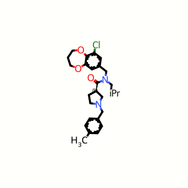 Cc1ccc(CN2CC[C@@H](C(=O)N(Cc3cc(Cl)c4c(c3)OCCCO4)CC(C)C)C2)cc1